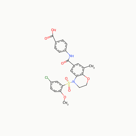 COc1ccc(Cl)cc1S(=O)(=O)N1CCOc2c(C)cc(C(=O)Nc3ccc(C(=O)O)cc3)cc21